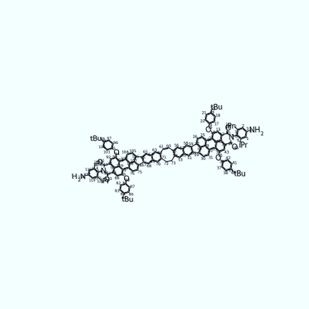 CC(C)c1cc(N)cc(C(C)C)c1N1C(=O)c2cc(Oc3ccc(C(C)(C)C)cc3)c3c4ccc5c6c(ccc(c7c(Oc8ccc(C(C)(C)C)cc8)cc(c2c37)C1=O)c64)-c1cc2cc3c(cc2cc1-5)/C=C\c1cc2cc4c(cc2cc1CC3)-c1ccc2c3c(Oc5ccc(C(C)(C)C)cc5)cc5c6c(cc(Oc7ccc(C(C)(C)C)cc7)c(c7ccc-4c1c72)c63)C(=O)N(c1c(C(C)C)cc(N)cc1C(C)C)C5=O